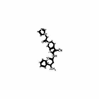 CC(CC(=O)Nc1sc2c(c1C#N)CCN(C(=O)Cn1ccnc1)C2)c1ccccc1